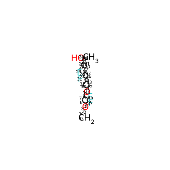 C=CCCOc1ccc(COc2ccc(-c3ccc(-c4ccc(C(C)O)cc4)c(F)c3F)cc2)c(F)c1F